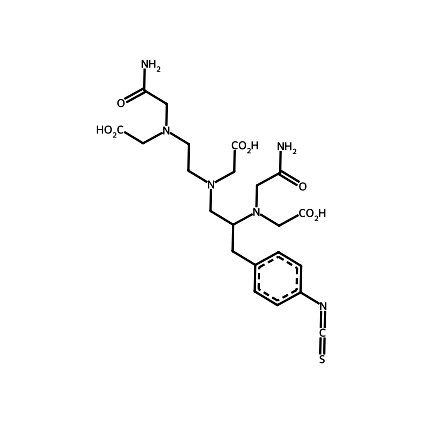 NC(=O)CN(CCN(CC(=O)O)CC(Cc1ccc(N=C=S)cc1)N(CC(N)=O)CC(=O)O)CC(=O)O